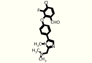 CN(C)Cc1ncc(-c2ccc(Oc3c(C=O)ccc(Cl)c3F)cc2)n1C